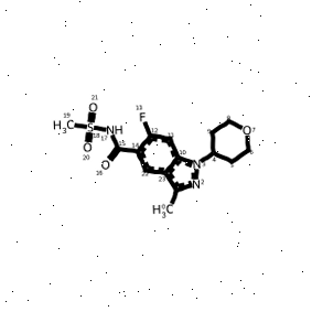 Cc1nn(C2CCOCC2)c2cc(F)c(C(=O)NS(C)(=O)=O)cc12